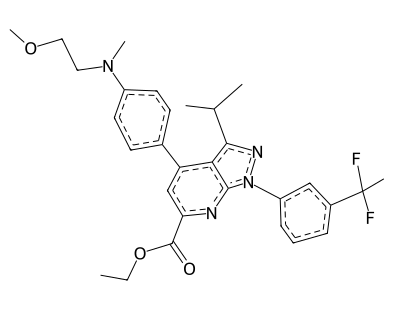 CCOC(=O)c1cc(-c2ccc(N(C)CCOC)cc2)c2c(C(C)C)nn(-c3cccc(C(C)(F)F)c3)c2n1